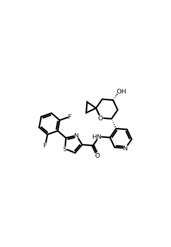 O=C(Nc1cnccc1[C@H]1C[C@@H](O)CC2(CC2)O1)c1csc(-c2c(F)cccc2F)n1